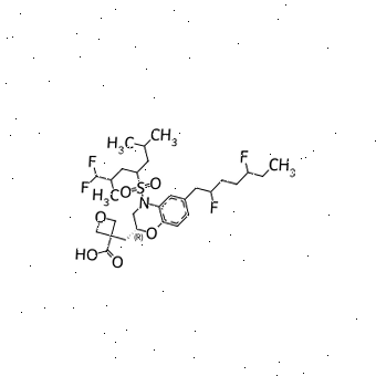 CCC(F)CCC(F)Cc1ccc2c(c1)N(S(=O)(=O)C(CC(C)C)CC(C)C(F)F)C[C@@H](CC1(C(=O)O)COC1)O2